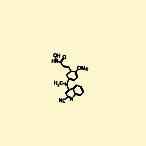 COC1=CC=C(N(C)c2cc(C#N)nc3ccccc23)CC1/C=C/C(=O)NO